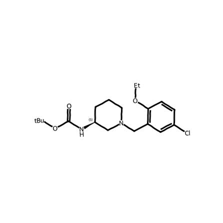 CCOc1ccc(Cl)cc1CN1CCC[C@H](NC(=O)OC(C)(C)C)C1